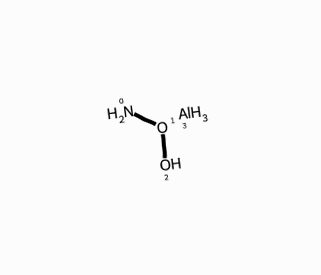 NOO.[AlH3]